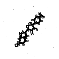 CC(NC(=O)c1cnc2cc(Cl)ccc2c1)C(=O)N1CCC2(CC1)CC2